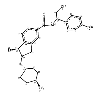 CCCCc1ccc([C@H](CO)NC(=O)c2cnc3c(c2)CN(C[C@H]2CC[C@H](C(F)(F)F)CC2)[C@H]3CC)cc1